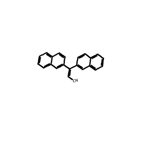 N#CC=C(c1ccc2ccccc2c1)c1ccc2ccccc2c1